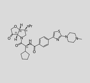 CCC[C@H]1CN(C(=O)[C@@H](NC(=O)c2ccc(-c3csc(N4CCN(C)CC4)n3)cc2)C2CCCC2)[C@@H]2C(=O)CO[C@H]12